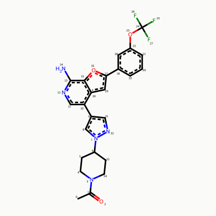 CC(=O)N1CCC(n2cc(-c3cnc(N)c4oc(-c5cccc(OC(F)(F)F)c5)cc34)cn2)CC1